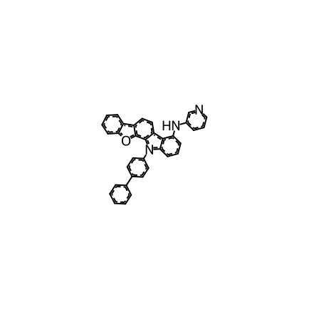 c1ccc(-c2ccc(-n3c4cccc(Nc5cccnc5)c4c4ccc5c6ccccc6oc5c43)cc2)cc1